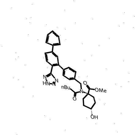 CCCCC(=O)N(Cc1ccc(-c2cc(-c3ccccc3)ccc2-c2nn[nH]n2)cc1)[C@]1(C(=O)OC)CC[C@@H](O)CC1